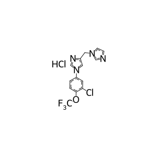 Cl.FC(F)(F)Oc1ccc(-n2cnc(Cn3ccnc3)c2)cc1Cl